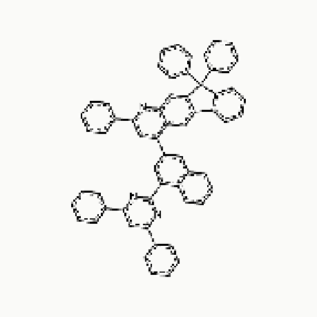 c1ccc(-c2cc(-c3ccccc3)nc(-c3cc(-c4cc(-c5ccccc5)nc5cc6c(cc45)-c4ccccc4C6(c4ccccc4)c4ccccc4)cc4ccccc34)n2)cc1